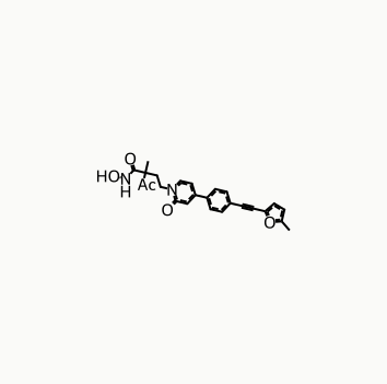 CC(=O)C(C)(CCn1ccc(-c2ccc(C#Cc3ccc(C)o3)cc2)cc1=O)C(=O)NO